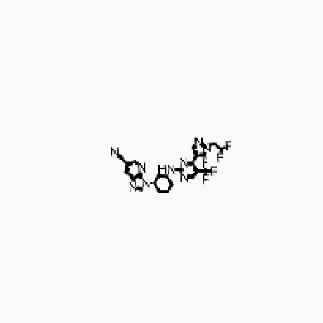 N#Cc1cnc2c(c1)ncn2[C@H]1CCC[C@@H](Nc2ncc(C(F)(F)F)c(-c3cnn(CC(F)F)c3)n2)C1